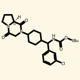 CC(C)(C)OC(=O)NC(c1cccc(Cl)c1)C1CCC(N2CC(=O)N3CCC[C@H]3C2=O)CC1